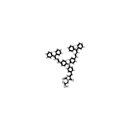 O=C(O)CN1C(=O)C(=Cc2ccc(N(c3ccc(/C=C/C=C(c4ccccc4)c4ccccc4)cc3)c3ccc(/C=C/C=C(c4ccccc4)c4ccccc4)cc3)cc2)SC1=S